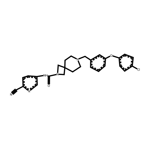 N#Cc1ccc(NC(=O)N2CC3(CCN(Cc4cccc(Oc5ccc(Cl)cc5)c4)CC3)C2)cn1